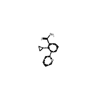 NC(=O)c1cccc(-c2ccccn2)c1C1CC1